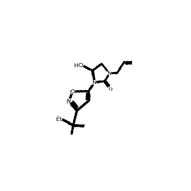 C=CCN1CC(O)N(c2cc(C(C)(C)CC)no2)C1=O